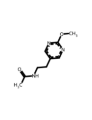 COc1ncc(CCNC(C)=O)cn1